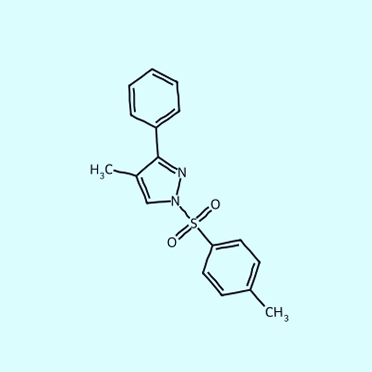 Cc1ccc(S(=O)(=O)n2cc(C)c(-c3ccccc3)n2)cc1